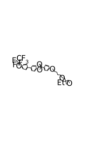 CCC1(COCCCCOc2ccc(C(=O)Oc3ccc(-c4ccc(OC(F)(F)C(F)C(F)(F)F)cc4)cc3)cc2)COC1